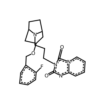 O=c1nc2ccccn2c(=O)n1CCCN1C2CCC1CC(OCc1ccccc1F)C2